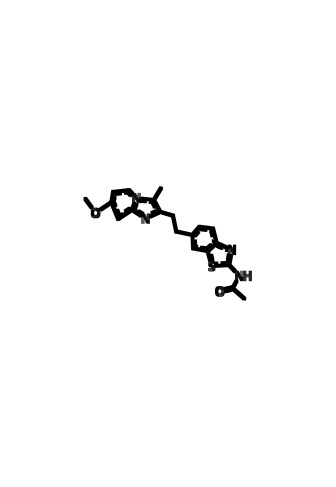 COc1ccn2c(C)c(CCc3ccc4nc(NC(C)=O)sc4c3)nc2c1